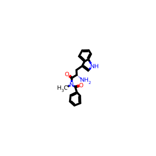 CN(C(=O)c1ccccc1)C(=O)[C@@H](N)Cc1c[nH]c2ccccc12